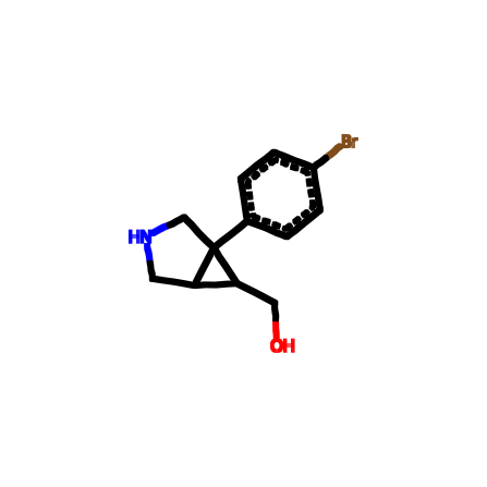 OCC1C2CNCC12c1ccc(Br)cc1